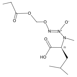 CCC(=O)OCON=[N+]([O-])N(C)[C@@H](CC(C)C)C(=O)O